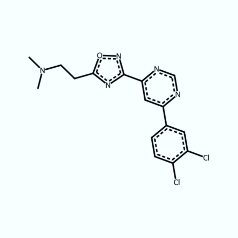 CN(C)CCc1nc(-c2cc(-c3ccc(Cl)c(Cl)c3)ncn2)no1